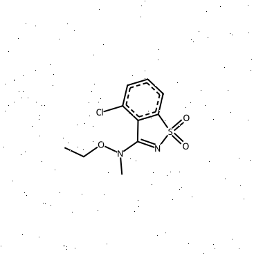 CCON(C)C1=NS(=O)(=O)c2cccc(Cl)c21